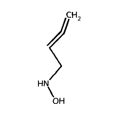 C=C=CCNO